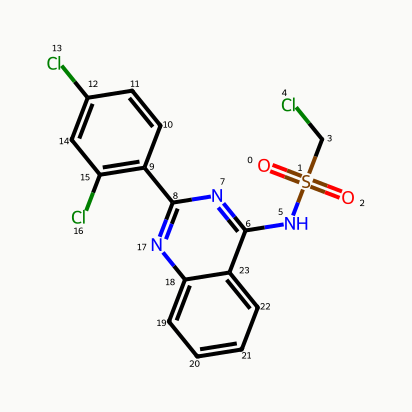 O=S(=O)(CCl)Nc1nc(-c2ccc(Cl)cc2Cl)nc2ccccc12